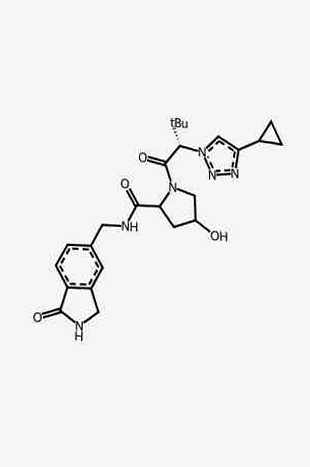 CC(C)(C)[C@@H](C(=O)N1CC(O)CC1C(=O)NCc1ccc2c(c1)CNC2=O)n1cc(C2CC2)nn1